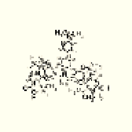 CC(C)[C@@H](C(=O)N1CCC[C@@]1(C(N)=O)c1ccc([C@H]2CC[C@H](c3ccc([C@]4(C(N)=O)CCCN4C(=O)[C@H](C(C)C)N(C)C(=O)O)cc3)N2c2ccc(-c3ccc(N(C)C)nc3)cc2)cc1)N(C)C(=O)O